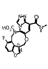 CN(C)C(=O)c1cc2c(n3cnnc13)N(C(=O)O)Cc1c(F)ccc3c1[C@@H](CO3)CO2